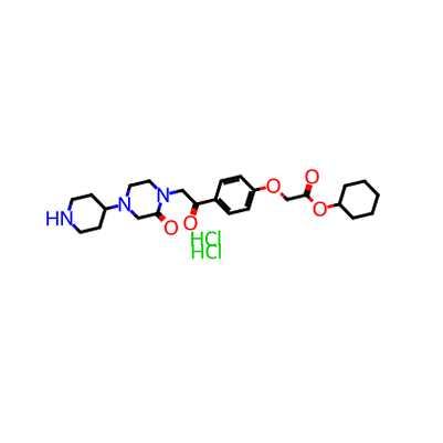 Cl.Cl.O=C(COc1ccc(C(=O)CN2CCN(C3CCNCC3)CC2=O)cc1)OC1CCCCC1